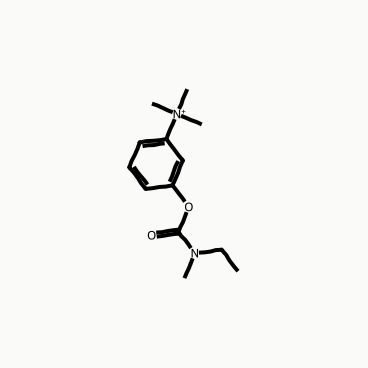 CCN(C)C(=O)Oc1cccc([N+](C)(C)C)c1